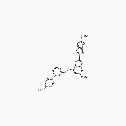 COc1cc(COc2ccnc(-c3ccc(C=O)cc3)c2)c2cc(-c3cn4nc(OC)sc4n3)oc2c1